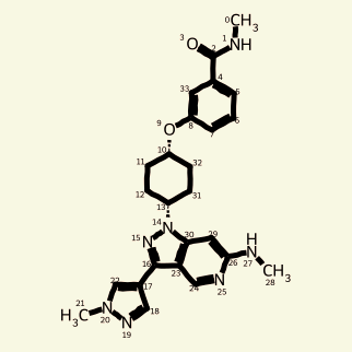 CNC(=O)c1cccc(O[C@H]2CC[C@@H](n3nc(-c4cnn(C)c4)c4cnc(NC)cc43)CC2)c1